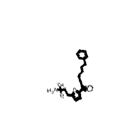 CCC(C)(N)CCc1ccc(C(=O)CCCCc2ccccc2)o1